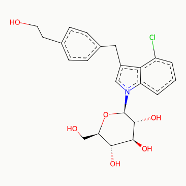 OCCc1ccc(Cc2cn([C@@H]3O[C@H](CO)[C@@H](O)[C@H](O)[C@H]3O)c3cccc(Cl)c23)cc1